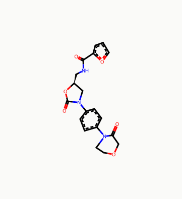 O=C(NC[C@H]1CN(c2ccc(N3CCOCC3=O)cc2)C(=O)O1)c1ccco1